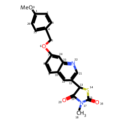 COc1ccc(COc2ccc3cc(C4SC(=O)N(C)C4=O)cnc3c2)cc1